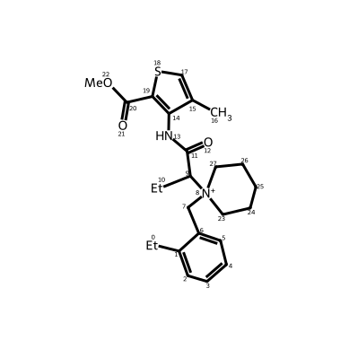 CCc1ccccc1C[N+]1(C(CC)C(=O)Nc2c(C)csc2C(=O)OC)CCCCC1